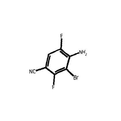 N#Cc1cc(F)c(N)c(Br)c1F